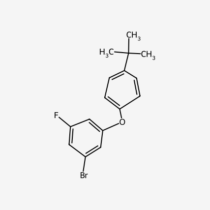 CC(C)(C)c1ccc(Oc2cc(F)cc(Br)c2)cc1